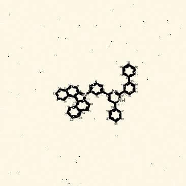 C1=C(c2cccc(-n3c4ccc5ccccc5c4c4c5ccccc5ccc43)c2)N=C(c2cccc(-c3ccccc3)c2)NC1c1ccccc1